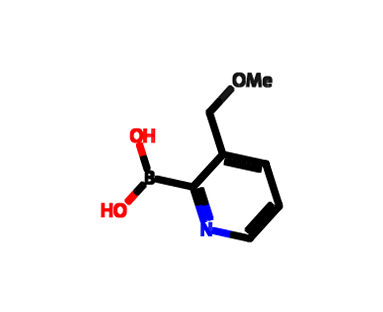 COCc1cccnc1B(O)O